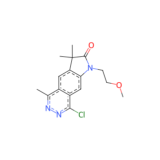 COCCN1C(=O)C(C)(C)c2cc3c(C)nnc(Cl)c3cc21